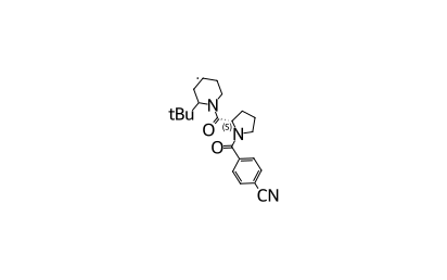 CC(C)(C)C1C[CH]CCN1C(=O)[C@@H]1CCCN1C(=O)c1ccc(C#N)cc1